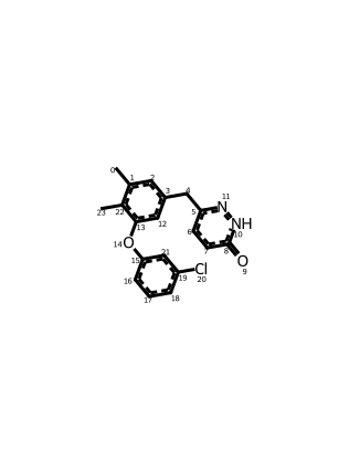 Cc1cc(Cc2ccc(=O)[nH]n2)cc(Oc2cccc(Cl)c2)c1C